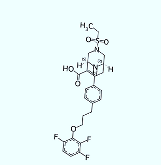 CCS(=O)(=O)N1C[C@H]2CC(c3ccc(CCCOc4c(F)ccc(F)c4F)cc3)=C(C(=O)O)[C@@H](C1)N2